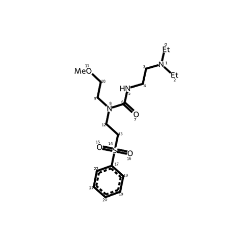 CCN(CC)CCNC(=O)N(CCOC)CCS(=O)(=O)c1ccccc1